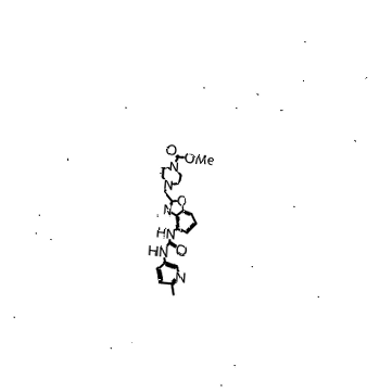 COC(=O)N1CCN(Cc2nc3c(NC(=O)Nc4ccc(C)nc4)cccc3o2)CC1